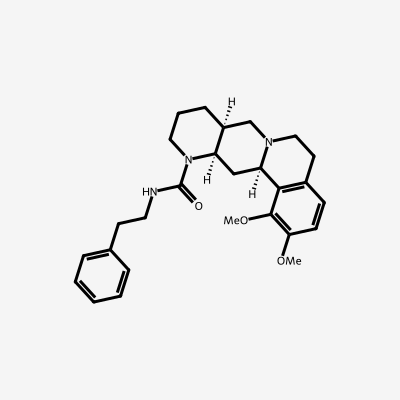 COc1ccc2c(c1OC)[C@H]1C[C@@H]3[C@@H](CCCN3C(=O)NCCc3ccccc3)CN1CC2